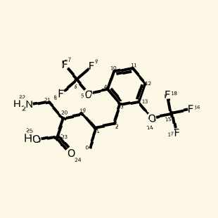 CC(Cc1c(OC(F)(F)F)cccc1OC(F)(F)F)CC(CN)C(=O)O